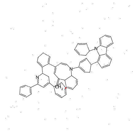 C=C1/C=C(C2=CCCC=C2C2CC(c3ccccc3)=CC(c3ccccc3)=N2)\C=C/N(C2=CCC(c3cccc4c5ccccc5n(C5C=CC=CC5)c34)C=C2)C2C=CC=CC12